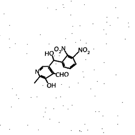 Cc1ncc(C(O)c2cccc([N+](=O)[O-])c2[N+](=O)[O-])c(C=O)c1O